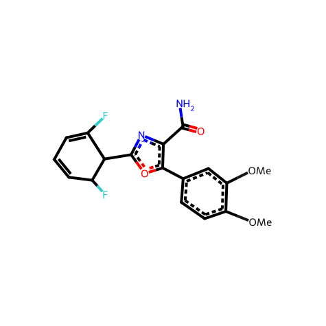 COc1ccc(-c2oc(C3C(F)=CC=CC3F)nc2C(N)=O)cc1OC